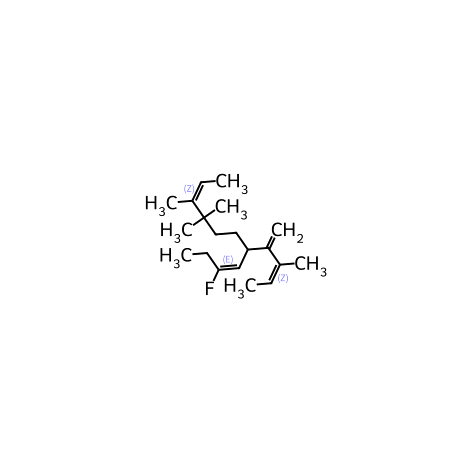 C=C(/C(C)=C\C)C(/C=C(/F)CC)CCC(C)(C)/C(C)=C\C